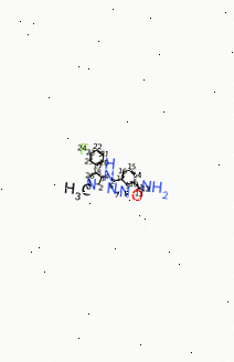 CN1CC(Nc2ncnc3c(C(N)=O)cccc23)[C@@H](c2cccc(F)c2)C1